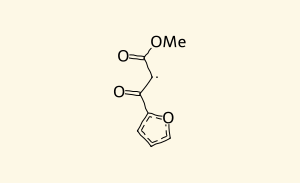 COC(=O)[CH]C(=O)c1ccco1